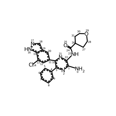 Nc1nc(-c2ccccc2)c(-c2cc(Cl)c3[nH]ncc3c2)nc1NC(=O)C1CCOCC1